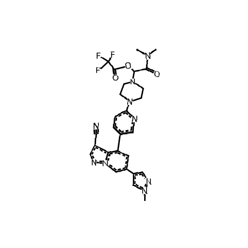 CN(C)C(=O)C(OC(=O)C(F)(F)F)N1CCN(c2ccc(-c3cc(-c4cnn(C)c4)cn4ncc(C#N)c34)cn2)CC1